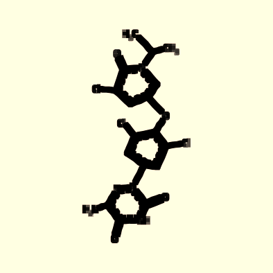 CC(C)n1cc(Oc2c(Cl)cc(-n3nc(N)c(=O)[nH]c3=O)cc2Cl)cc(Cl)c1=O